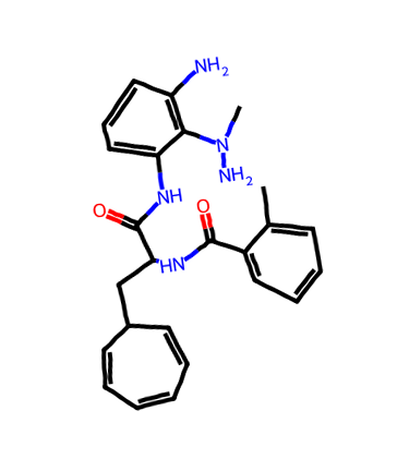 Cc1ccccc1C(=O)NC(CC1C=CC=CC=C1)C(=O)Nc1cccc(N)c1N(C)N